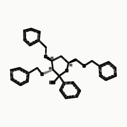 OC1(c2ccccc2)O[C@H](COCc2ccccc2)C[C@H](OCc2ccccc2)[C@H]1OCc1ccccc1